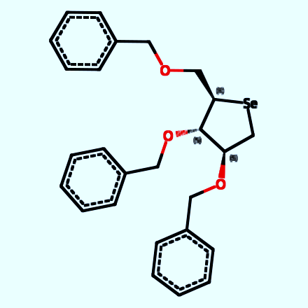 c1ccc(COC[C@H]2[Se]C[C@@H](OCc3ccccc3)[C@@H]2OCc2ccccc2)cc1